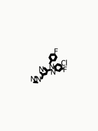 Fc1ccc(Cn2c(-c3cncc(Cn4ccnc4)c3)nc3cc(F)c(Cl)cc32)cc1